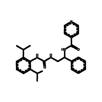 CC(C)c1cccc(C(C)C)c1NC(=O)NCC(NC(=O)c1ccncc1)c1ccccc1